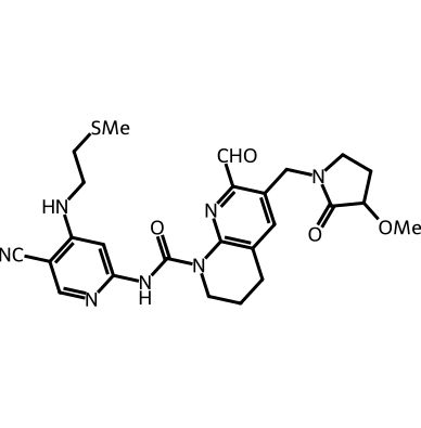 COC1CCN(Cc2cc3c(nc2C=O)N(C(=O)Nc2cc(NCCSC)c(C#N)cn2)CCC3)C1=O